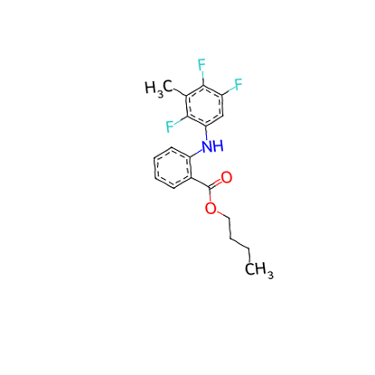 CCCCOC(=O)c1ccccc1Nc1cc(F)c(F)c(C)c1F